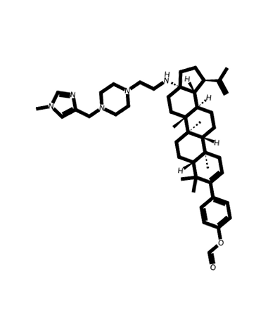 C=C(C)[C@@H]1CC[C@]2(NCCN3CCN(Cc4cn(C)cn4)CC3)CC[C@]3(C)[C@H](CC[C@@H]4[C@@]5(C)CC=C(c6ccc(OC=O)cc6)C(C)(C)[C@@H]5CC[C@]43C)[C@@H]12